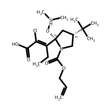 C=CCOC(=O)N1C[C@@H](C(C)(C)C)C[C@]1(O[SiH](C)C)C(CC)=C(Cl)C(=O)O